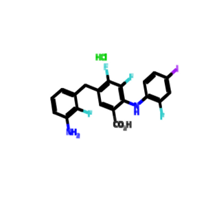 Cl.Nc1cccc(Cc2cc(C(=O)O)c(Nc3ccc(I)cc3F)c(F)c2F)c1F